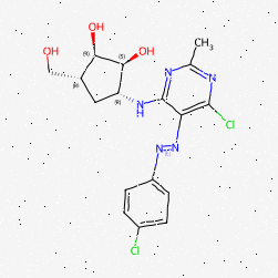 Cc1nc(Cl)c(/N=N/c2ccc(Cl)cc2)c(N[C@@H]2C[C@H](CO)[C@@H](O)[C@H]2O)n1